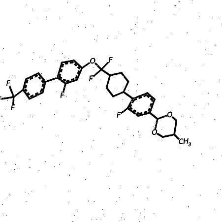 CC1COC(c2ccc(C3CCC(C(F)(F)Oc4ccc(-c5ccc(C(F)(F)F)cc5)c(F)c4)CC3)c(F)c2)OC1